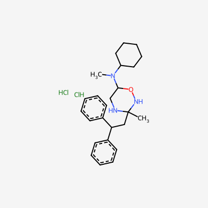 CN(C1CCCCC1)C1CNC(C)(CC(c2ccccc2)c2ccccc2)NO1.Cl.Cl